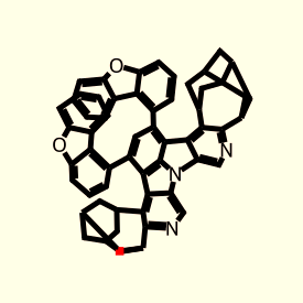 c1ccc2c(c1)oc1cccc(-c3cc(-c4cccc5oc6ccccc6c45)c4c5c6c(ncc5n5c7cnc8c(c7c3c45)C3CC4CC(CC8C4)C3)C3CC4CC5CC6CC45C3)c12